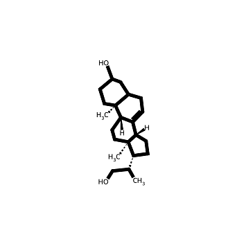 CC(CO)[C@H]1CC[C@H]2C3=CCC4CC(O)CC[C@]4(C)[C@H]3CC[C@]12C